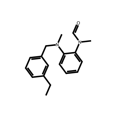 CCc1cccc(CN(C)c2ccccc2N(C)C=O)c1